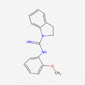 COc1ccccc1NC(=N)N1CCc2ccccc21